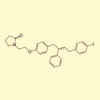 O=C1CCCN1CCOc1ccc(C/C(=C/Cc2ccc(I)cc2)c2ccccc2)cc1